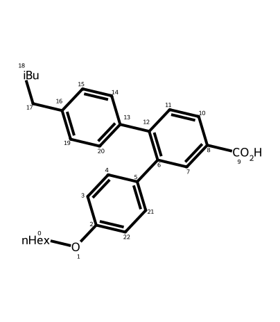 CCCCCCOc1ccc(-c2cc(C(=O)O)ccc2-c2ccc(CC(C)CC)cc2)cc1